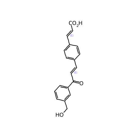 O=C(O)/C=C/c1ccc(/C=C/C(=O)c2cccc(CO)c2)cc1